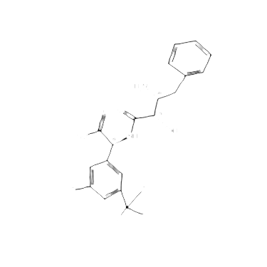 N[C@H](Cc1ccccc1)[C@H](O)C(=O)N[C@H](C(=O)O)c1cc(F)cc(C(F)(F)F)c1